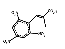 CC(=Cc1c([N+](=O)[O-])cc([N+](=O)[O-])cc1[N+](=O)[O-])C(=O)O